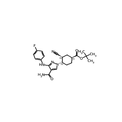 CC(C)(C)OC(=O)[C@H]1CC[C@H](n2cc(C(N)=O)c(Nc3ccc(F)cc3)n2)[C@@H](C#N)C1